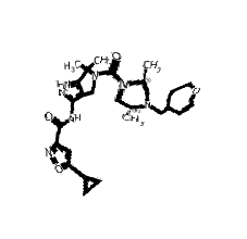 C[C@@H]1CN(C(=O)N2Cc3c(NC(=O)c4cc(C5CC5)on4)n[nH]c3C2(C)C)[C@@H](C)CN1CC1CCOCC1